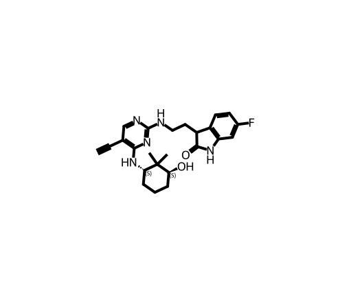 C#Cc1cnc(NCCC2C(=O)Nc3cc(F)ccc32)nc1N[C@H]1CCC[C@H](O)C1(C)C